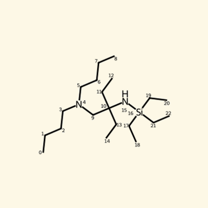 CCCCN(CCCC)CC(CC)(CC)N[Si](CC)(CC)CC